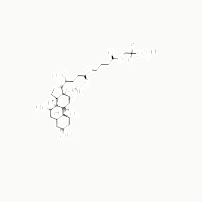 C[C@H](CCC(=O)OCCCC(=O)OCC(F)(F)S(=O)(=O)O)[C@H]1CC[C@H]2[C@@H]3[C@H](O)CC4C[C@H](O)CC[C@]4(C)[C@H]3C[C@H](O)[C@]12C